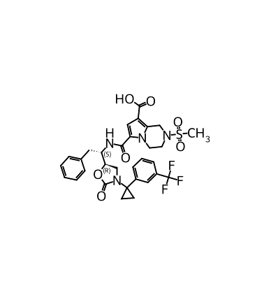 CS(=O)(=O)N1CCn2c(C(=O)N[C@@H](Cc3ccccc3)[C@H]3CN(C4(c5cccc(C(F)(F)F)c5)CC4)C(=O)O3)cc(C(=O)O)c2C1